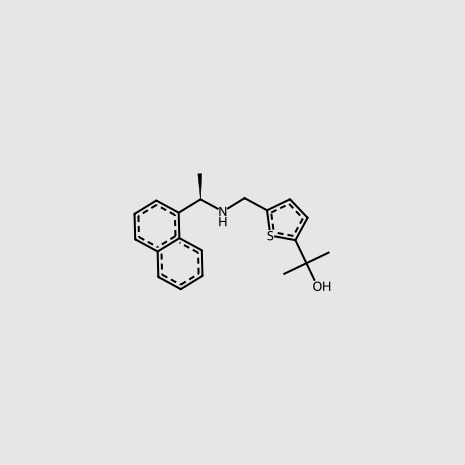 C[C@@H](NCc1ccc(C(C)(C)O)s1)c1cccc2ccccc12